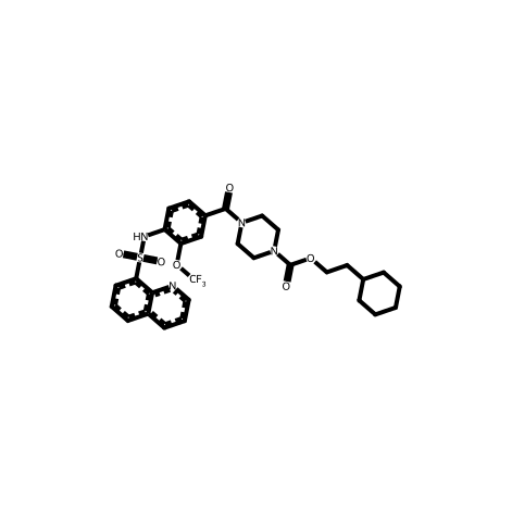 O=C(OCCC1CCCCC1)N1CCN(C(=O)c2ccc(NS(=O)(=O)c3cccc4cccnc34)c(OC(F)(F)F)c2)CC1